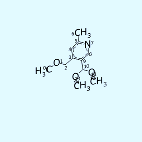 COCc1cc(C)ncc1C(OC)OC